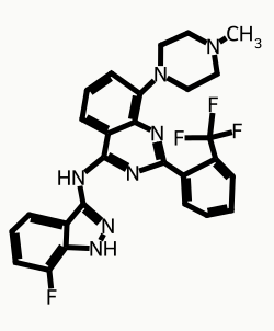 CN1CCN(c2cccc3c(Nc4n[nH]c5c(F)cccc45)nc(-c4ccccc4C(F)(F)F)nc23)CC1